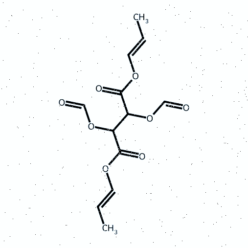 CC=COC(=O)C(OC=O)C(OC=O)C(=O)OC=CC